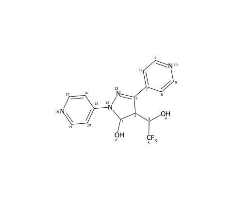 OC1C(C(O)C(F)(F)F)C(c2ccncc2)=NN1c1ccncc1